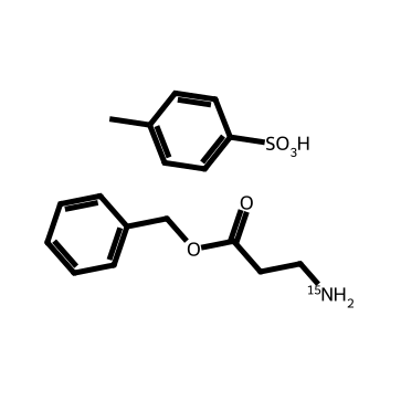 Cc1ccc(S(=O)(=O)O)cc1.[15NH2]CCC(=O)OCc1ccccc1